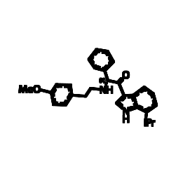 COc1ccc(CCN[C@@H](C(=O)c2c[nH]c3c(C(C)C)cccc23)c2ccccc2)cc1